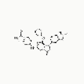 Cc1nc2ccc(-c3c[nH]c4nc(Nc5ccc6c(c5)CNC6=O)nc(OC5CCCC5)c34)cc2o1